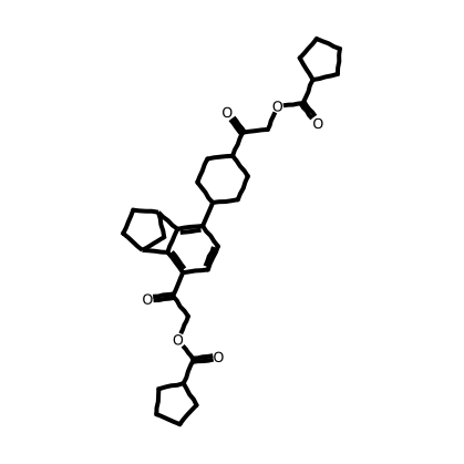 O=C(COC(=O)C1CCCC1)c1ccc(C2CCC(C(=O)COC(=O)C3CCCC3)CC2)c2c1C1CCC2C1